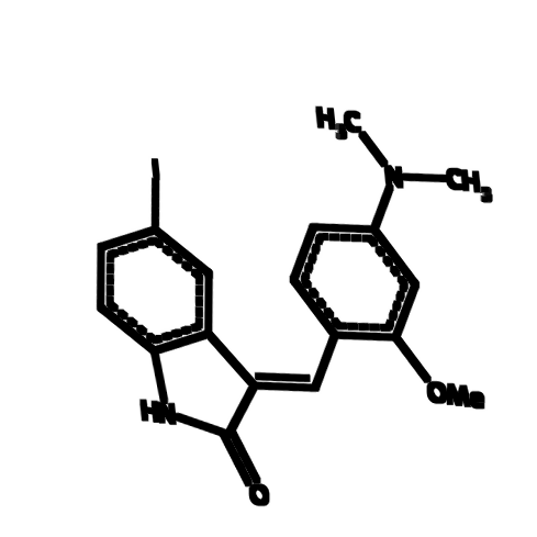 COc1cc(N(C)C)ccc1C=C1C(=O)Nc2ccc(I)cc21